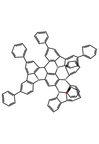 c1ccc(-c2ccc3c(c2)c2cc(-c4ccccc4)cc4c2n3-c2cc(-n3c5ccccc5c5ccccc53)c(N(c3ccccc3)c3ccccc3)c3c2C4c2cc(-c4ccccc4)cc4c5cc(-c6ccccc6)ccc5n-3c24)cc1